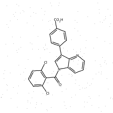 O=C(O)c1ccc(-c2cn(C(=O)c3c(Cl)cccc3Cl)c3cccnc23)cc1